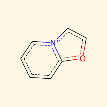 c1cc[n+]2ccoc2c1